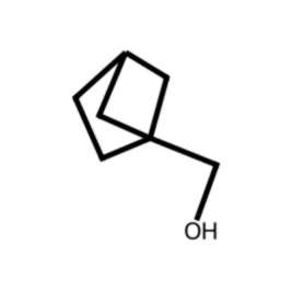 OCC12CCC(C1)C2